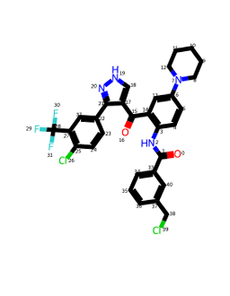 O=C(Nc1ccc(N2CCCCC2)cc1C(=O)c1c[nH]nc1-c1ccc(Cl)c(C(F)(F)F)c1)c1cccc(CCl)c1